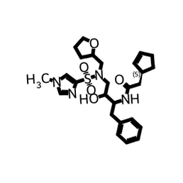 Cn1cnc(S(=O)(=O)N(CC2CCCO2)CC(O)C(Cc2ccccc2)NC(=O)C[C@H]2C=CCC2)c1